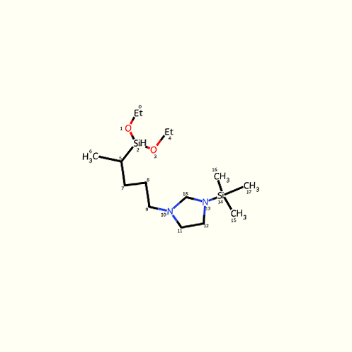 CCO[SiH](OCC)C(C)CCCN1CCN([Si](C)(C)C)C1